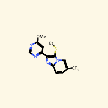 CCSc1c(-c2cc(OC)ncn2)nc2ccc(C(F)(F)F)cn12